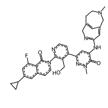 CN1CCC2=CC(=CC(Nc3cc(-c4ccnc(-n5ccc6cc(C7CC7)cc(F)c6c5=O)c4CO)nn(C)c3=O)=NC2)C1